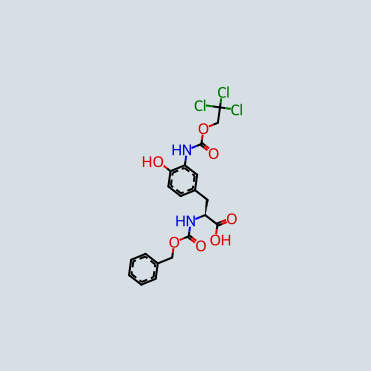 O=C(Nc1cc(C[C@H](NC(=O)OCc2ccccc2)C(=O)O)ccc1O)OCC(Cl)(Cl)Cl